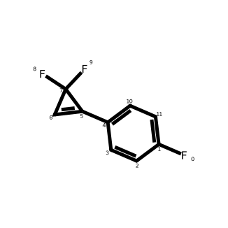 Fc1ccc(C2=CC2(F)F)cc1